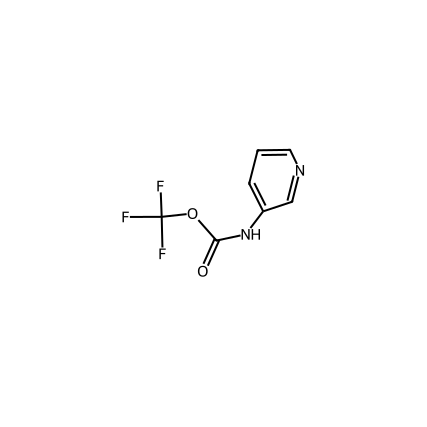 O=C(Nc1cccnc1)OC(F)(F)F